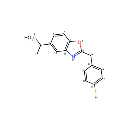 CC(C(=O)O)c1ccc2oc(Cc3ccc(F)cc3)nc2c1